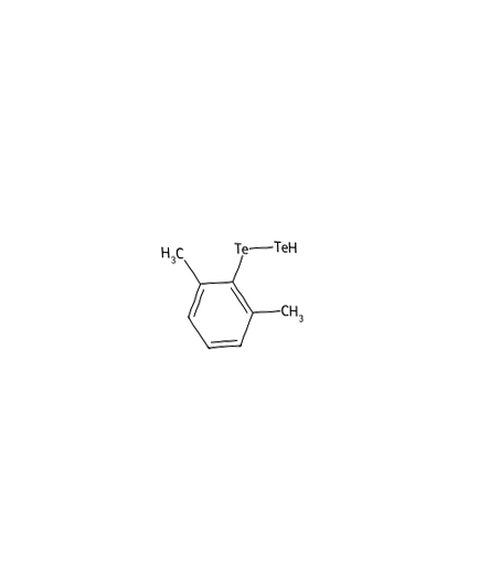 Cc1cccc(C)c1[Te][TeH]